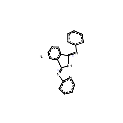 [Ni].c1ccc(/N=C2\N/C(=N/c3ccccn3)c3ccccc32)nc1